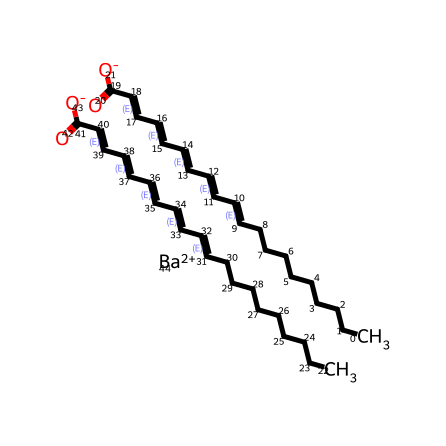 CCCCCCCCC/C=C/C=C/C=C/C=C/C=C/C(=O)[O-].CCCCCCCCC/C=C/C=C/C=C/C=C/C=C/C(=O)[O-].[Ba+2]